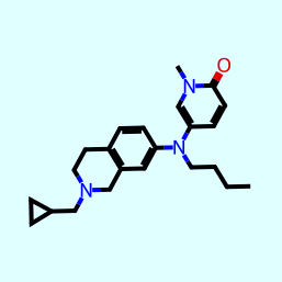 CCCCN(c1ccc2c(c1)CN(CC1CC1)CC2)c1ccc(=O)n(C)c1